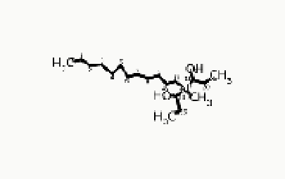 CCCCCCCCCCCC[N+](C)(C(O)CC)C(O)CC